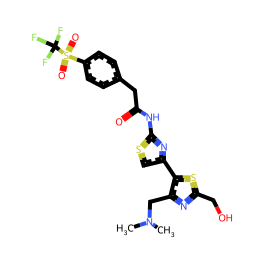 CN(C)Cc1nc(CO)sc1-c1csc(NC(=O)Cc2ccc(S(=O)(=O)C(F)(F)F)cc2)n1